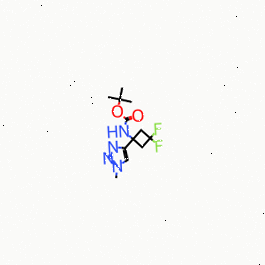 Cn1cc(C2(NC(=O)OC(C)(C)C)CC(F)(F)C2)nn1